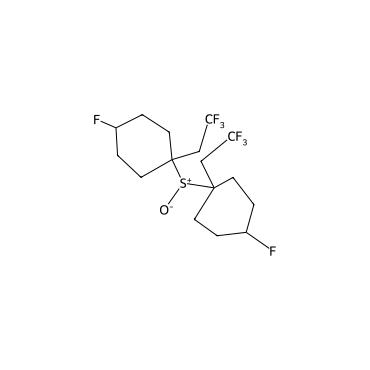 [O-][S+](C1(CC(F)(F)F)CCC(F)CC1)C1(CC(F)(F)F)CCC(F)CC1